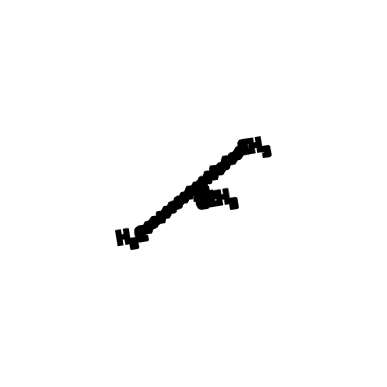 CCCCCCCCCCCCCCCCCCC(CCCCCCCCCCCCCCCCC)SOC(=O)CC